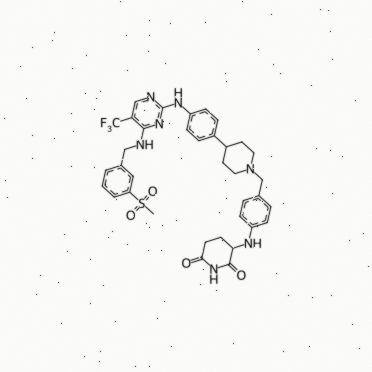 CS(=O)(=O)c1cccc(CNc2nc(Nc3ccc(C4CCN(Cc5ccc(NC6CCC(=O)NC6=O)cc5)CC4)cc3)ncc2C(F)(F)F)c1